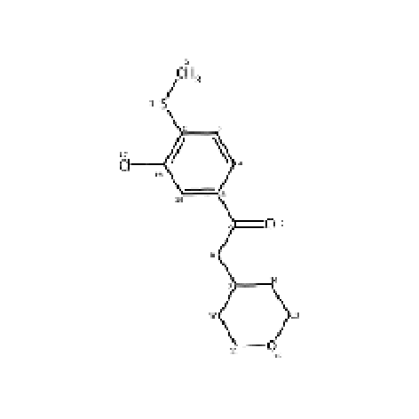 CSc1ccc(C(=O)CC2CCOCC2)cc1Cl